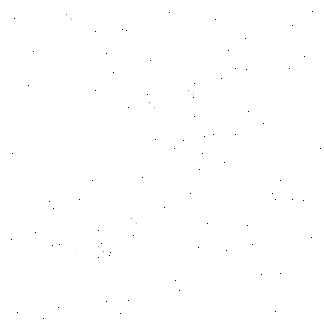 N#Cc1ccc(Cn2cncc2CCc2ccc(-n3c(=O)ccc4ccc(OCc5ccccc5)cc43)nc2)cc1F